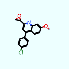 COc1ccc2c(-c3ccc(Cl)cc3)cc(C3CO3)nc2c1